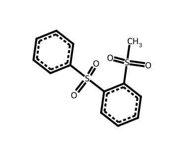 CS(=O)(=O)c1ccccc1S(=O)(=O)c1ccccc1